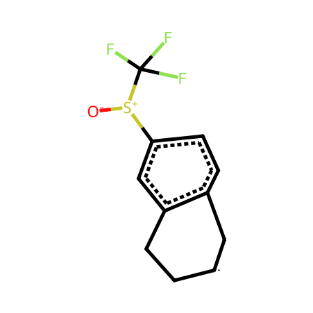 [O-][S+](c1ccc2c(c1)CC[CH]C2)C(F)(F)F